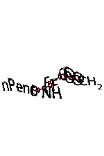 C=CC(=O)OCCC(=O)OCCOc1ccc(C#Cc2ccc3c(F)c(-c4ccc(-c5ccc(OCCCCC)cc5)cc4C=N)ccc3c2F)cc1